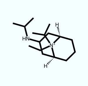 CC[N+]1(C(C)C)[C@@H]2CCC[C@H]1CC(NC(C)C)C2